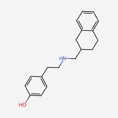 Oc1ccc(CCNCC2CCc3ccccc3C2)cc1